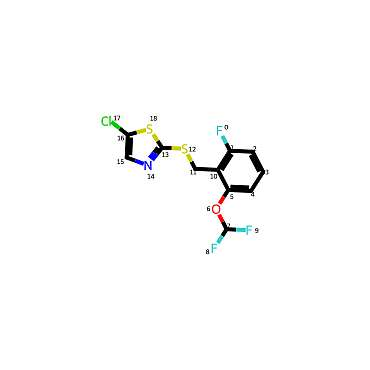 Fc1cccc(OC(F)F)c1CSc1ncc(Cl)s1